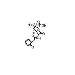 CC1(C)S[C@@H]2C(NC(=O)Cn3ccccc3=O)C(=O)N2[C@H]1C(=O)O